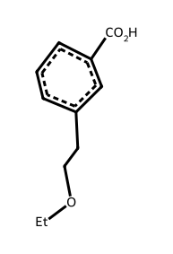 CCOCCc1cccc(C(=O)O)c1